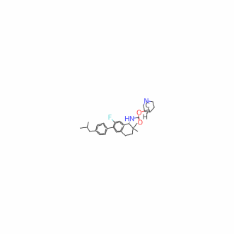 CC(C)Cc1ccc(-c2cc3c(cc2F)[C@H](NC(=O)O[C@@H]2CN4CCC2CC4)C(C)(C)CC3)cc1